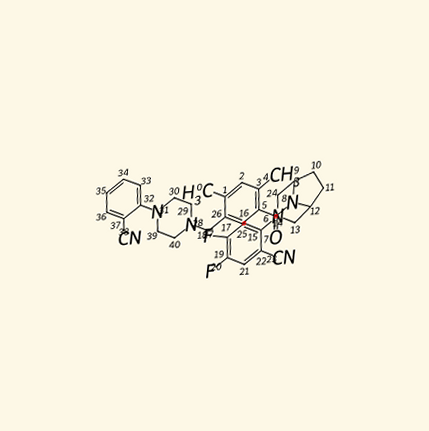 Cc1cc(C)c(C(=O)N2C3CCC2CN(c2cc(F)c(F)cc2C#N)C3)cc1CN1CCN(c2ccccc2C#N)CC1